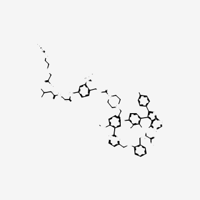 COc1ccccc1-c1nccc(COc2ccccc2C[C@@H](Oc2ncnc3sc(-c4ccc(F)cc4)c(-c4ccc(OCCN5CCN(C(=O)OCc6ccc(NC(=O)[C@H](C)NC(=O)[C@@H](NC(=O)COCCN=[N+]=[N-])C(C)C)cc6S(=O)(=O)O)CC5)c(Cl)c4C)c23)C(=O)O)n1